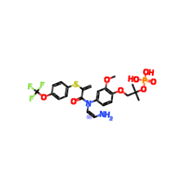 C=C(Sc1ccc(OC(F)(F)F)cc1)C(=O)N(/C=C\N)c1ccc(OCC(C)(C)OP(=O)(O)O)c(OC)c1